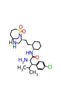 CC(C)[C@H](c1ccc(Cl)cc1)[C@H](N)C(=O)N[C@H]1CCCC[C@@H]1CC[C@H]1CN[C@@H]2CCCS(=O)(=O)N1C2